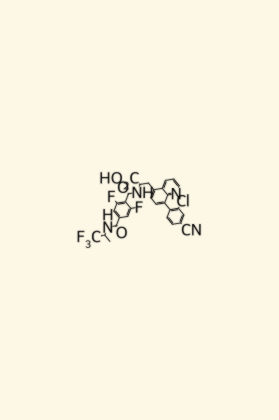 C[C@H](NC(=O)c1cc(F)c(C(=O)N[C@@H](Cc2ccc(-c3ccc(C#N)cc3Cl)c3ncccc23)C(=O)O)c(F)c1)C(F)(F)F